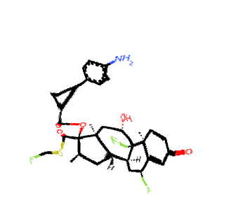 C[C@@H]1C[C@H]2[C@@H]3C[C@H](F)C4=CC(=O)C=C[C@]4(C)[C@@]3(F)[C@@H](O)C[C@]2(C)[C@@]1(OC(=O)[C@H]1CC1c1ccc(N)cc1)C(=O)SCF